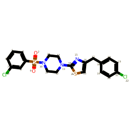 O=S(=O)(c1cccc(Cl)c1)N1CCN(c2nc(Cc3ccc(Cl)cc3)cs2)CC1